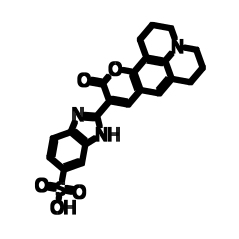 O=c1oc2c3c4c(cc2cc1-c1nc2ccc(S(=O)(=O)O)cc2[nH]1)CCCN4CCC3